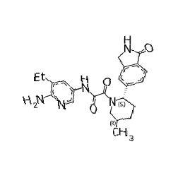 CCc1cc(NC(=O)C(=O)N2C[C@H](C)CC[C@H]2c2ccc3c(c2)CNC3=O)cnc1N